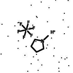 CN1CCCC1.F[P-](F)(F)(F)(F)F.[H+]